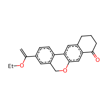 C=C(OCC)c1ccc2c(c1)COc1cc3c(cc1-2)CCCC3=O